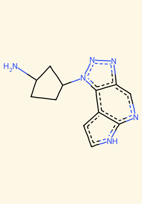 NC1CCC(n2nnc3cnc4[nH]ccc4c32)C1